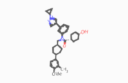 COc1ccc(C2CCC(CN(c3cccc(-c4cnn(C5CC5)c4)c3)C(=O)[C@H]3CC[C@@H](O)CC3)CC2)cc1C